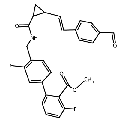 COC(=O)c1c(F)cccc1-c1ccc(CNC(=O)C2CC2C=Cc2ccc(C=O)cc2)c(F)c1